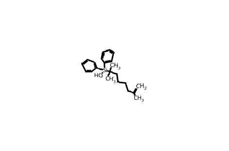 C=C(C)CCCCC(C)(C)[Si](O)(c1ccccc1)c1ccccc1